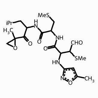 CSCC(NC(=O)C(Nc1cc(C)on1)C(C=O)SC)C(=O)NC(CC(C)C)C(=O)C1(C)CO1